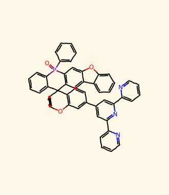 O=P1(c2ccccc2)c2ccccc2C2(c3ccccc3Oc3cc(-c4cc(-c5ccccn5)nc(-c5ccccn5)c4)ccc32)c2cc3c(cc21)oc1ccccc13